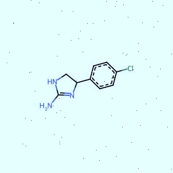 NC1=NC(c2ccc(Cl)cc2)CN1